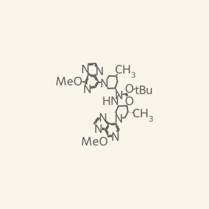 COc1ncc(N2C[C@@H](C)C[C@@H](NN(C(=O)OC(C)(C)C)[C@@H]3C[C@H](C)CN(c4cnc(OC)c5nccnc45)C3)C2)c2nccnc12